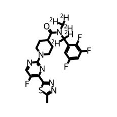 [2H]C([2H])([2H])N(C(=O)C1CCN(c2ncc(F)c(-c3nnc(C)s3)n2)CC1)C([2H])([2H])c1cc(F)cc(F)c1F